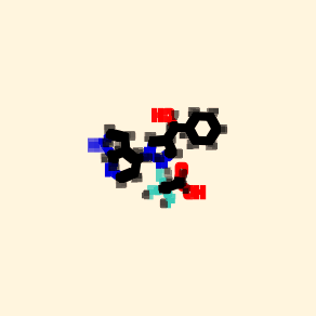 O=C(O)C(F)(F)F.OC(c1cnn(-c2ccnc3[nH]ccc23)c1)C1CCCCC1